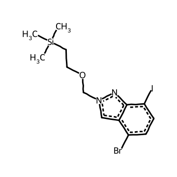 C[Si](C)(C)CCOCn1cc2c(Br)ccc(I)c2n1